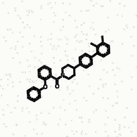 Cc1cccc(-c2ccc(C3CCN(C(=O)c4ccccc4Oc4ccccc4)CC3)cc2)c1C